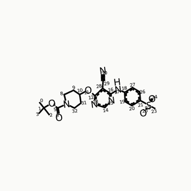 CC(C)(C)OC(=O)N1CCC(Oc2ncnc(Nc3ccc(S(C)(=O)=O)cc3)c2C#N)CC1